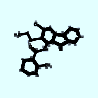 CCOc1c(Cl)cc2c([nH]c3cnccc32)c1NC(=O)c1cccnc1C